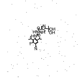 CC(C)c1cc(C#N)c(F)c(C(C)C)c1NC(=O)N[S@](=N)(=O)c1cnc(C(C)(O)CO)s1